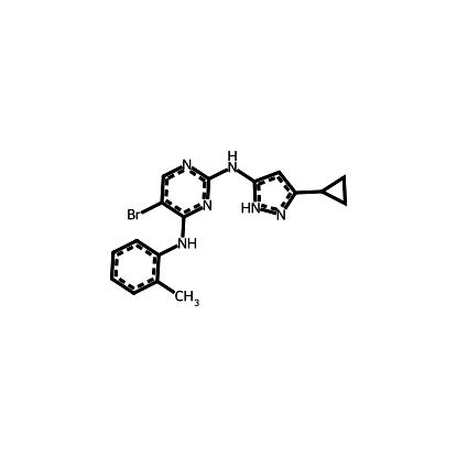 Cc1ccccc1Nc1nc(Nc2cc(C3CC3)n[nH]2)ncc1Br